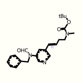 CN(CC/C=C/c1cncc(N(C=O)Cc2ccccc2)c1)C(=O)OC(C)(C)C